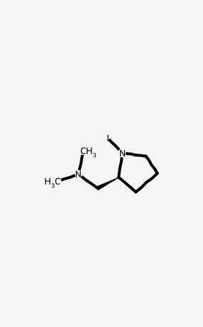 CN(C)C[C@@H]1CCCN1I